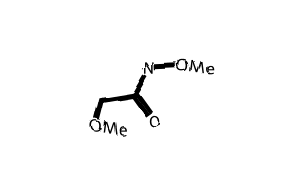 COCC(=O)[N]OC